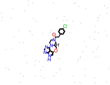 O=C(Cc1ccc(Cl)cc1)N1CCN2c3ncnc4[nH]cc(c34)OC[C@H]2C1